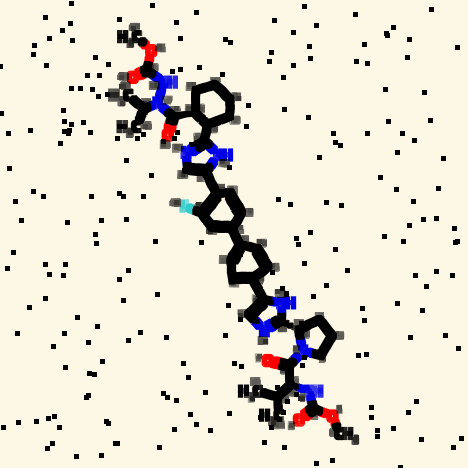 COC(=O)N[C@H](C(=O)N1CCC[C@H]1c1ncc(-c2ccc(-c3ccc(-c4cnc(C5CCCC[C@@H]5C(=O)N(NC(=O)OC)C(C)C)[nH]4)c(F)c3)cc2)[nH]1)C(C)C